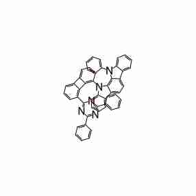 c1ccc(-c2nc(-c3ccccc3)nc(-c3cccc4c3-c3c-4cccc3-n3c4ccccc4c4ccc5c6ccccc6n(-c6ccccc6)c5c43)n2)cc1